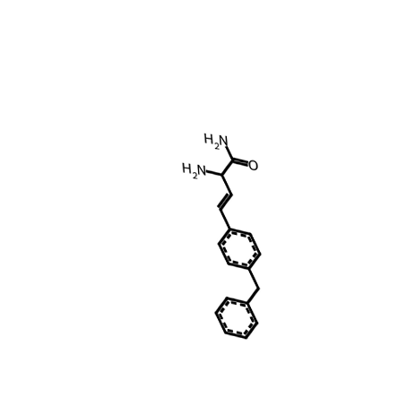 NC(=O)C(N)C=Cc1ccc(Cc2ccccc2)cc1